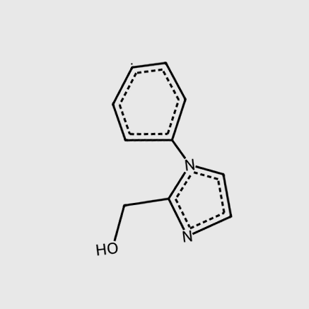 OCc1nccn1-c1cc[c]cc1